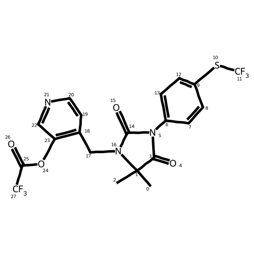 CC1(C)C(=O)N(c2ccc(SC(F)(F)F)cc2)C(=O)N1Cc1ccncc1OC(=O)C(F)(F)F